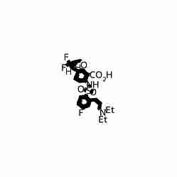 CCN(CC)C/C=C\c1cc(F)ccc1S(=O)(=O)Nc1ccc2c(c1C(=O)O)OC[C@H]1[C@@H]2C1(F)F